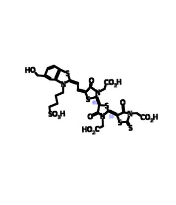 O=C(O)CN1C(=O)/C(=c2\s/c(=c3/sc(=CC=C4Sc5ccc(CO)cc5N4CCCCS(=O)(=O)O)c(=O)n3CC(=O)O)c(=O)n2CC(=O)O)SC1=S